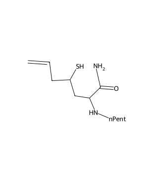 C=CCC(S)CC(NCCCCC)C(N)=O